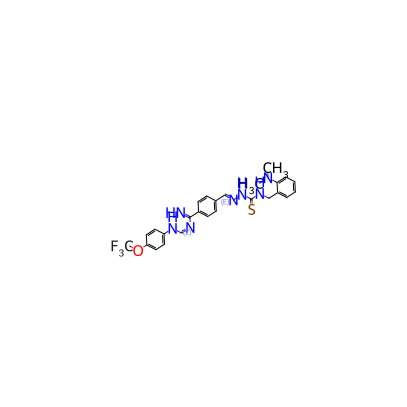 CN(C)c1ccccc1CNC(=S)N/N=C/c1ccc(C(=N)/N=C\Nc2ccc(OC(F)(F)F)cc2)cc1